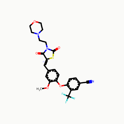 COc1cc(/C=C2\SC(=O)N(CCN3CCOCC3)C2=O)ccc1Oc1ccc(C#N)cc1C(F)(F)F